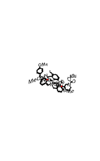 COc1ccc(CN(Cc2ccc(OC)cc2)S(=O)(=O)c2c(S(=O)(=O)NC3CCCN(C(=O)OC(C)(C)C)C3)ccc(I)c2-c2nnn(Cc3ccc(OC)cc3)n2)cc1